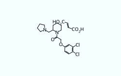 O=C(COc1ccc(Cl)c(Cl)c1)N1CCCCC1CN1CCCC1.O=C(O)/C=C/C(=O)O